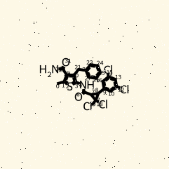 Cc1sc(NC(=O)C2C(c3cc(Cl)cc(Cl)c3)C2(Cl)Cl)c(Cc2ccccc2)c1C(N)=O